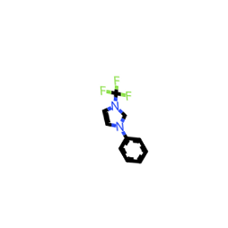 FC(F)(F)N1C=CN(c2ccccc2)C1